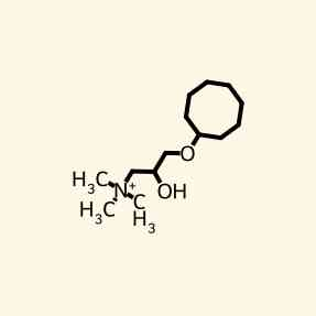 C[N+](C)(C)CC(O)COC1CCCCCCC1